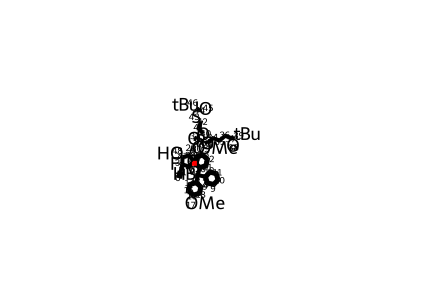 C#C[C@]1(F)[C@H](BC(c2ccccc2)(c2ccc(OC)cc2)c2ccc(OC)cc2)O[C@H](COP(=O)(OCCCC(=O)C(C)(C)C)OCCSC(=O)C(C)(C)C)[C@H]1O